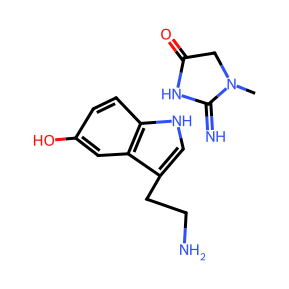 CN1CC(=O)NC1=N.NCCc1c[nH]c2ccc(O)cc12